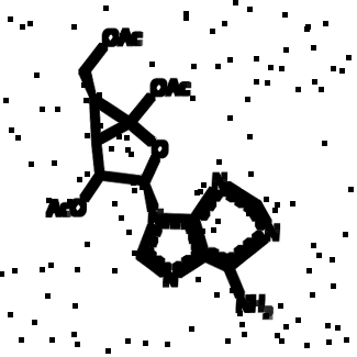 CC(=O)OC[C@@H]1C2C(OC(C)=O)[C@H](n3cnc4c(N)ncnc43)OC21OC(C)=O